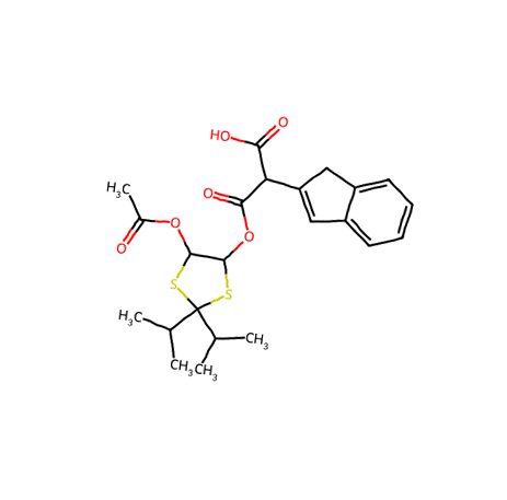 CC(=O)OC1SC(C(C)C)(C(C)C)SC1OC(=O)C(C(=O)O)C1=Cc2ccccc2C1